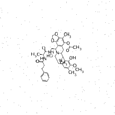 COc1c(C)cc2c(c1O)C1C3Cc4c(OC(C)=O)c(C)c5c(c4[C@H](CNC(=O)[C@H](C)NC(=O)CCc4ccccc4)N3[C@@H](O)C(C2)N1C)OCO5